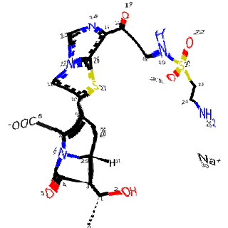 C[C@@H](O)[C@H]1C(=O)N2C(C(=O)[O-])=C(c3cn4cnc(C(=O)CNS(=O)(=O)CCN)c4s3)C[C@H]12.[Na+]